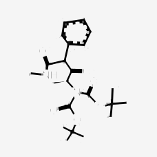 [CH2]NC(=O)C(C(=O)[C@H](C)N(C(=O)OC(C)(C)C)C(=O)OC(C)(C)C)c1ccccc1